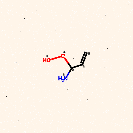 C=CC(N)OO